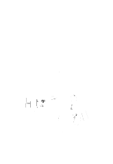 CCCCCCCCC(N)[C@H](CCC)C(=O)O